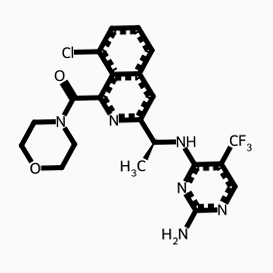 C[C@H](Nc1nc(N)ncc1C(F)(F)F)c1cc2cccc(Cl)c2c(C(=O)N2CCOCC2)n1